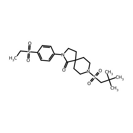 CCS(=O)(=O)c1ccc(N2CCC3(CCN(S(=O)(=O)CC(C)(C)C)CC3)C2=O)cc1